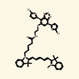 CCc1ccc(-c2cc(SCCNC(=O)CCCCN3/C(=C/C=C/C=C/C4=[N+](C)c5ccccc5C4(C)C)C(C)(C)c4ccccc43)c(-c3ccc(CC)s3)c3nsnc23)s1